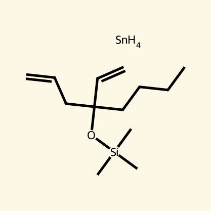 C=CCC(C=C)(CCCC)O[Si](C)(C)C.[SnH4]